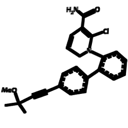 COC(C)(C)C#Cc1ccc(-c2ccccc2N2CC=CC(C(N)=O)=C2Cl)cc1